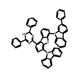 c1ccc(C2=NC(c3ccc(-n4c5ccccc5c5ccccc54)c4oc5c(-n6c7ccccc7c7ccc(-c8ccccc8)cc76)cccc5c34)=NC(c3ccccc3)N2)cc1